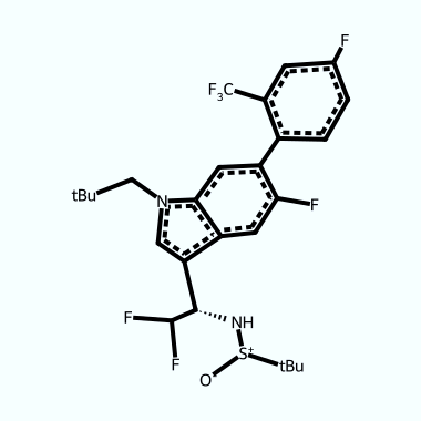 CC(C)(C)Cn1cc([C@H](N[S+]([O-])C(C)(C)C)C(F)F)c2cc(F)c(-c3ccc(F)cc3C(F)(F)F)cc21